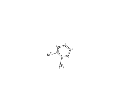 N#Cc1c[c]ccc1C(F)(F)F